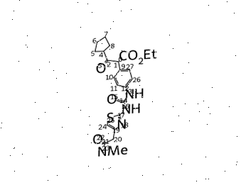 CCOC(=O)C(C(=O)C1CCCC1)c1ccc(NC(=O)Nc2nc(CC(=O)NC)cs2)cc1